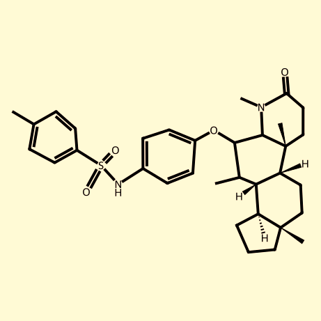 Cc1ccc(S(=O)(=O)Nc2ccc(OC3C(C)[C@@H]4[C@@H](CC[C@]5(C)CCC[C@@H]45)[C@@]4(C)CCC(=O)N(C)C34)cc2)cc1